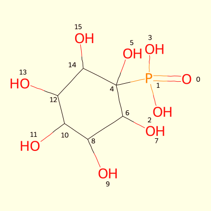 O=P(O)(O)C1(O)C(O)C(O)C(O)C(O)C1O